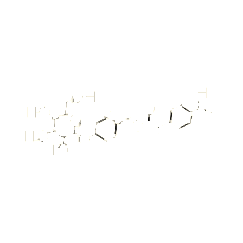 O=C(Cc1ccc(NI)cc1)OCc1ccc(O[C@@H]2OC(CO)[C@H](O)C(O)[C@@H]2O)cc1